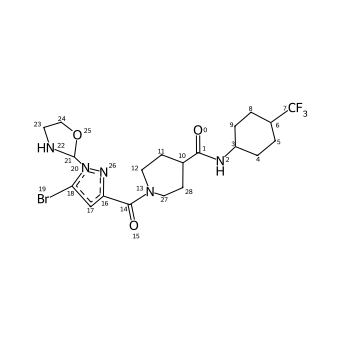 O=C(NC1CCC(C(F)(F)F)CC1)C1CCN(C(=O)c2cc(Br)n(C3NCCO3)n2)CC1